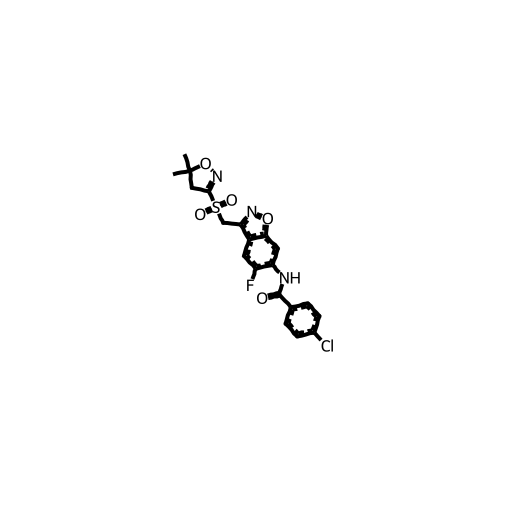 CC1(C)CC(S(=O)(=O)Cc2noc3cc(NC(=O)c4ccc(Cl)cc4)c(F)cc23)=NO1